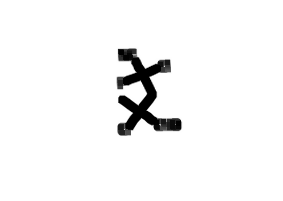 CC(Cl)(C=O)CC(F)(Cl)C#N